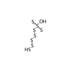 OS(=S)(=S)SSSSS